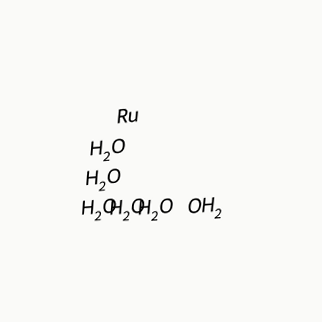 O.O.O.O.O.O.[Ru]